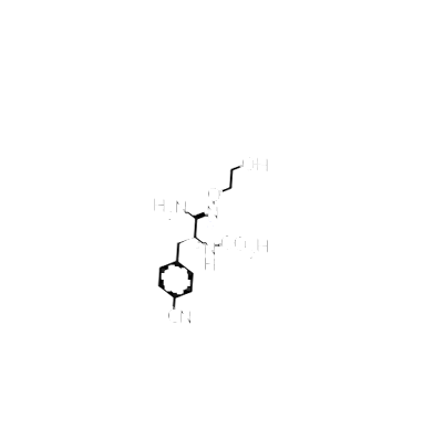 N#Cc1ccc(C[C@H](NC(=O)O)/C(N)=N/OCCO)cc1